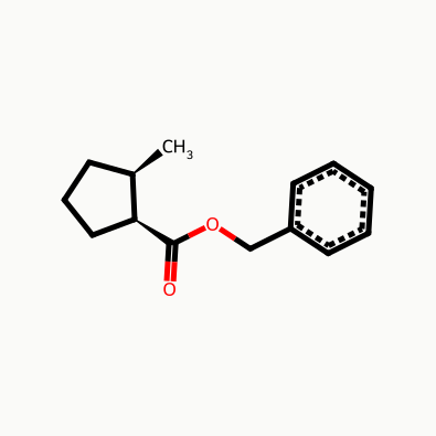 C[C@@H]1CCC[C@@H]1C(=O)OCc1ccccc1